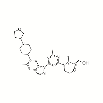 Cc1nc(N2CCO[C@H](CO)[C@@H]2C)cc(-n2ncc3cc(C)c(C4CCN(C5CCOC5)CC4)cc32)n1